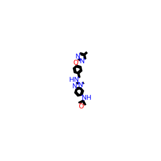 Cc1cnc(Oc2ccc(CNc3nc4ccc(NC5COC5)cc4n3C)cc2)nc1